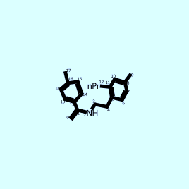 C=C(NCCc1ccc(C)cc1CCC)c1ccc(C)cc1